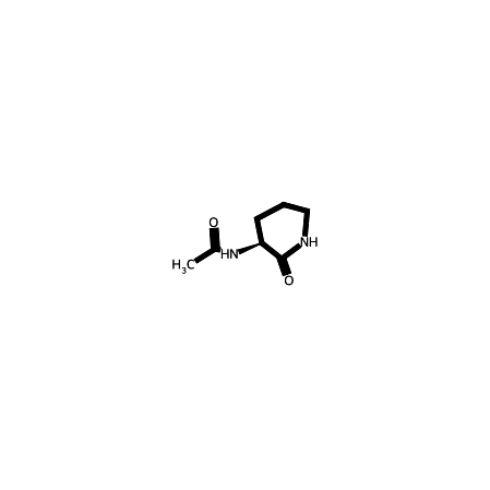 CC(=O)N[C@H]1CCCNC1=O